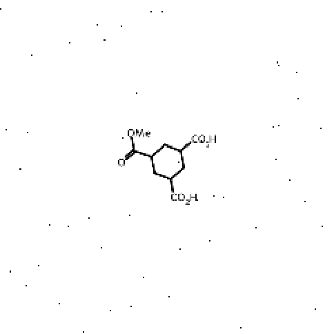 COC(=O)C1CC(C(=O)O)CC(C(=O)O)C1